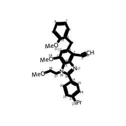 C#Cc1c(Cc2ccccc2OC)cc(OC)c2c1nc(-c1ccc(C(C)C)cc1)n2CCOC